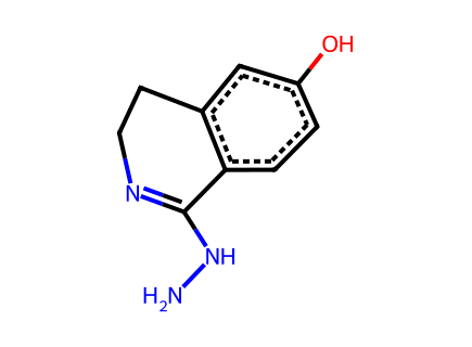 NNC1=NCCc2cc(O)ccc21